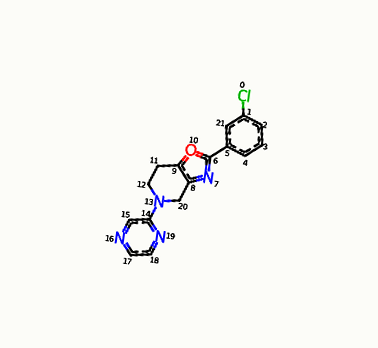 Clc1cccc(-c2nc3c(o2)CCN(c2cnccn2)C3)c1